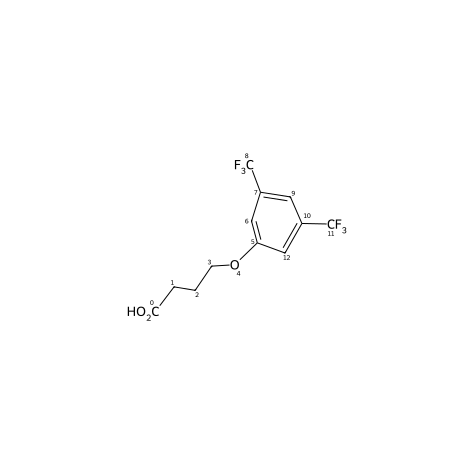 O=C(O)CCCOc1cc(C(F)(F)F)cc(C(F)(F)F)c1